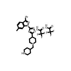 Cc1ccc2c(C(C)C)nn(-c3noc(C4CCN(CC5CCNCC5)CC4)n3)c2c1.O=C(O)C(F)(F)F.O=C(O)C(F)(F)F